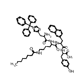 CCCCCCCC(=O)NCCCCC(NC(=O)C(N)Cc1cn(C(c2ccccc2)(c2ccccc2)c2ccccc2)cn1)C(=O)NC(Cc1ccc2ccccc2c1)C(=O)NC(Cc1ccc(O)cc1)C(=O)O